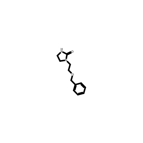 O=C1NCCN1CCOCc1ccccc1